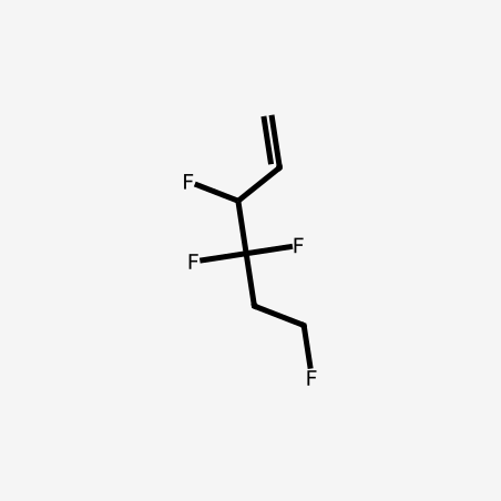 C=CC(F)C(F)(F)CCF